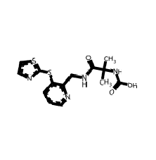 CC(C)(NC(=O)O)C(=O)NCc1ncccc1Sc1nccs1